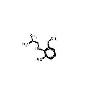 COc1cccc(O)c1NCC(C)C